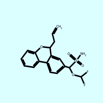 C=CCC1Oc2ccccc2-c2ccc(C(OC(F)F)S(N)(=O)=O)cc21